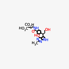 Cc1nc(O)c2c(C(CCO)c3ccc(C(=O)N[C@@H](CCC(=O)O)C(=O)O)cc3)c[nH]c2n1